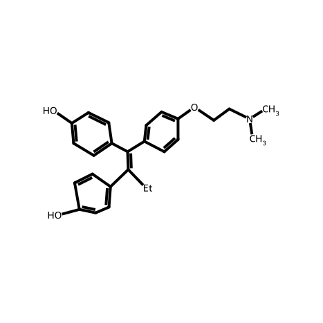 CCC(=C(c1ccc(O)cc1)c1ccc(OCCN(C)C)cc1)c1ccc(O)cc1